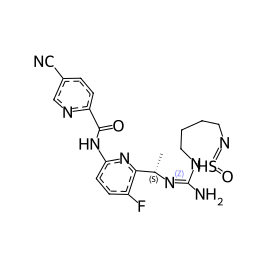 C[C@H](/N=C(/N)N1CCCCN=[SH]1=O)c1nc(NC(=O)c2ccc(C#N)cn2)ccc1F